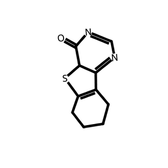 O=C1N=CN=C2C3=C(CCCC3)SC12